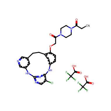 N#CCC(=O)N1CCN(C(=O)COc2ccc3cc2CCc2cncc(c2)Nc2ncc(Cl)c(n2)N3)CC1.O=C(O)C(F)(F)F.O=C(O)C(F)(F)F